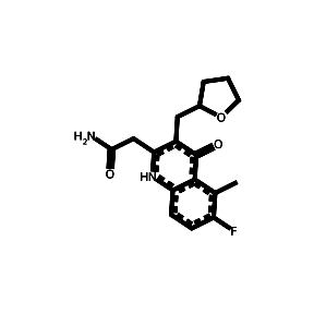 Cc1c(F)ccc2[nH]c(CC(N)=O)c(CC3CCCO3)c(=O)c12